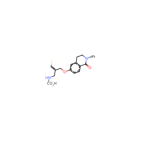 CC(C)N1CCc2cc(OC/C(=C\F)CNC(=O)O)ccc2C1=O